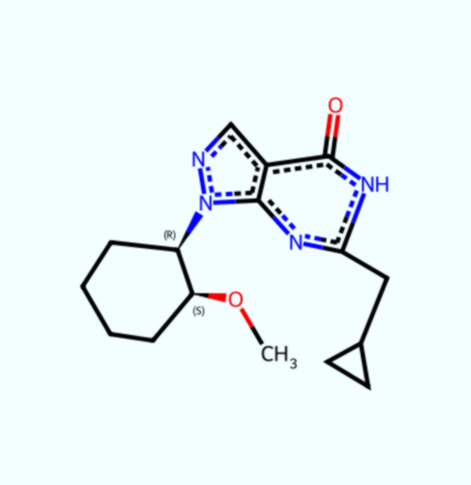 CO[C@H]1CCCC[C@H]1n1ncc2c(=O)[nH]c(CC3CC3)nc21